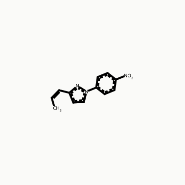 C/C=C\c1ccn(-c2ccc([N+](=O)[O-])cc2)n1